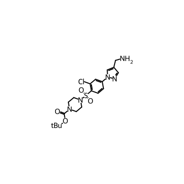 CC(C)(C)OC(=O)N1CCN(S(=O)(=O)c2ccc(-n3cc(CN)cn3)cc2Cl)CC1